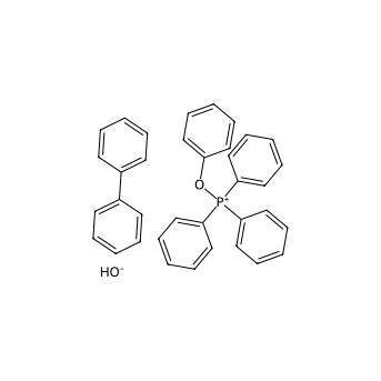 [OH-].c1ccc(-c2ccccc2)cc1.c1ccc(O[P+](c2ccccc2)(c2ccccc2)c2ccccc2)cc1